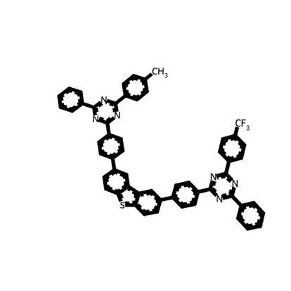 Cc1ccc(-c2nc(-c3ccccc3)nc(-c3ccc(-c4ccc5sc6ccc(-c7ccc(-c8nc(-c9ccccc9)nc(-c9ccc(C(F)(F)F)cc9)n8)cc7)cc6c5c4)cc3)n2)cc1